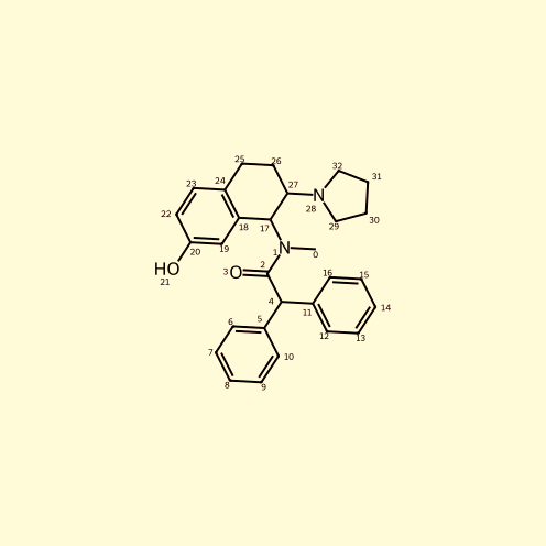 CN(C(=O)C(c1ccccc1)c1ccccc1)C1c2cc(O)ccc2CCC1N1CCCC1